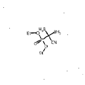 BC(B)(C#N)P(=O)(OCC)OCC